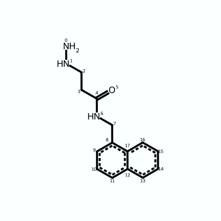 NNCCC(=O)NCc1cccc2ccccc12